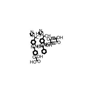 CC(c1ccc2nc(-c3ccccc3)n(O)c2c1)n1ccnc1.CC(c1ccc2nc(-c3ccccc3)n(O)c2c1)n1ccnc1.O=C(O)C(=O)O.O=C(O)C(=O)O.O=C(O)C(=O)O